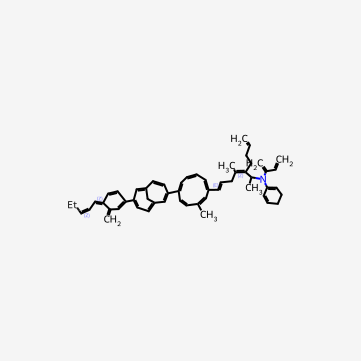 C=CCC/C(=C(\C)C/C=C/c1ccccc(C2=CC3=CC=C(c4cc/c(=C/C=C\CC)c(=C)c4)C=C(C=C2)C3)ccc(C)c1)C(C)N(C(=C)C=C)C1=CCCC=C1